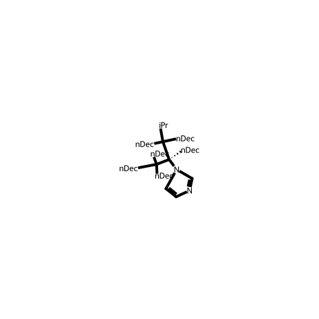 CCCCCCCCCCC(CCCCCCCCCC)(CCCCCCCCCC)[C@](CCCCCCCCCC)(n1ccnc1)C(CCCCCCCCCC)(CCCCCCCCCC)C(C)C